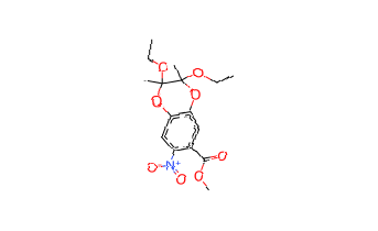 CCOC1(C)Oc2cc(C(=O)OC)c([N+](=O)[O-])cc2OC1(C)OCC